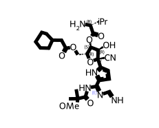 COC(C)(C)C(=O)N/C(=N/C=N)c1ccc([C@]2(C#N)O[C@H](COC(=O)CC3CCCCC3)[C@@H](OC(=O)[C@H](N)C(C)C)[C@H]2O)[nH]1